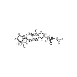 C[C@@H](c1ccc(C(C)(C)C(=O)NC2CC2)cc1)N1CC[C@](CC(C)(C)O)(c2ccccc2)OC1=O